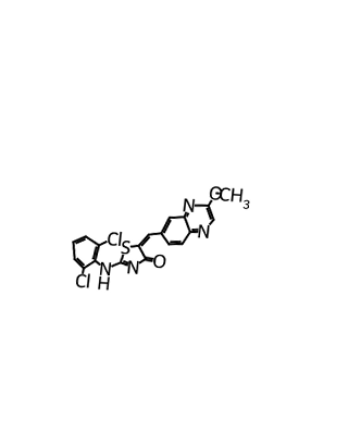 COc1cnc2ccc(/C=C3/SC(Nc4c(Cl)cccc4Cl)=NC3=O)cc2n1